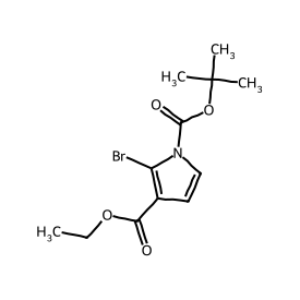 CCOC(=O)c1ccn(C(=O)OC(C)(C)C)c1Br